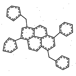 c1ccc(Cc2cc(-c3ccccc3)c3ccc4c(Cc5ccccc5)cc(-c5ccccc5)c5ccc2c3c45)cc1